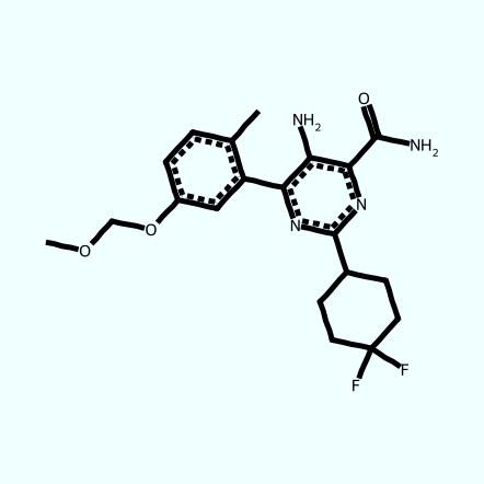 COCOc1ccc(C)c(-c2nc(C3CCC(F)(F)CC3)nc(C(N)=O)c2N)c1